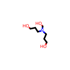 OCCCN(CO)CCCO